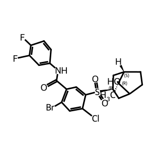 C[C@@]1(O)C2CC[C@H]1C[C@H](S(=O)(=O)c1cc(C(=O)Nc3ccc(F)c(F)c3)c(Br)cc1Cl)C2